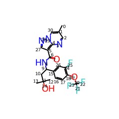 Cc1cnc2c(C(=O)NC(CC(C)(C)O)c3ccc(OC(F)(F)F)c(F)c3)cnn2c1